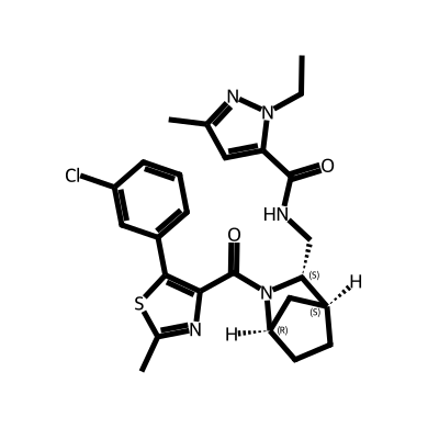 CCn1nc(C)cc1C(=O)NC[C@@H]1[C@H]2CC[C@H](C2)N1C(=O)c1nc(C)sc1-c1cccc(Cl)c1